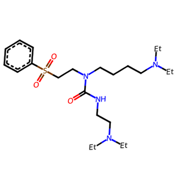 CCN(CC)CCCCN(CCS(=O)(=O)c1ccccc1)C(=O)NCCN(CC)CC